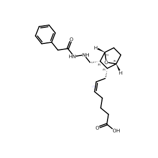 O=C(O)CCC/C=C\C[C@@H]1[C@H](CNNC(=O)Cc2ccccc2)[C@@H]2CC[C@H]1O2